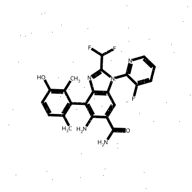 Cc1ccc(O)c(C)c1-c1c(N)c(C(N)=O)cc2c1nc(C(F)F)n2-c1ncccc1F